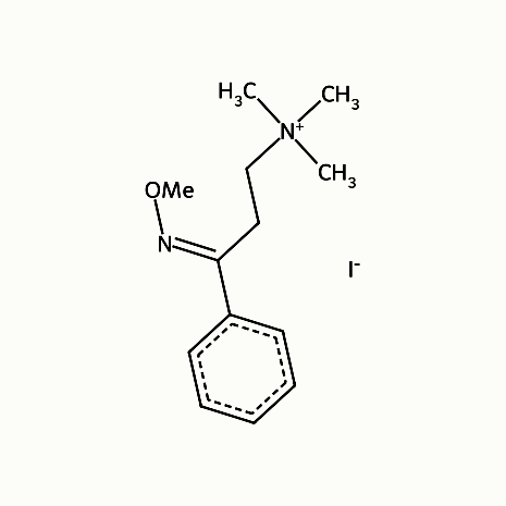 CON=C(CC[N+](C)(C)C)c1ccccc1.[I-]